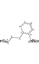 CCCCCCCCCCCCc1ccccc1CCCCCCCCC